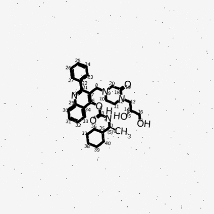 C[C@H](NC(=O)Oc1c(CN2CCN(C[C@@H](O)CO)C(=O)C2)c(-c2ccccc2)nc2ccccc12)C1CCCCC1